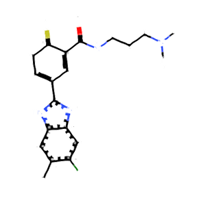 CCN(CC)CCCNC(=O)C1=CC(c2nc3cc(Cl)c(C)cc3[nH]2)=CCC1=S